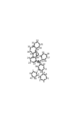 c1ccc(-c2ccccc2-c2ccc(N(c3ccccc3)c3cccc4c3oc3c5ccccc5ccc43)cc2)cc1